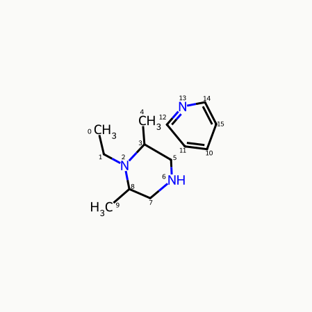 CCN1C(C)CNCC1C.c1ccncc1